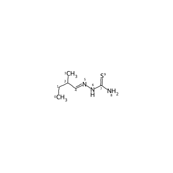 CCC(C)C=NNC(N)=S